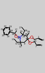 C=CCOC1(OCC=C)CC(C)(CC)N(OC(C)c2ccccc2)C(C)(CC)C1C